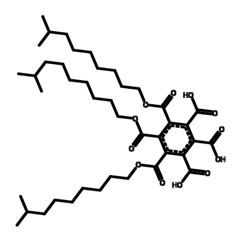 CC(C)CCCCCCCOC(=O)c1c(C(=O)O)c(C(=O)O)c(C(=O)O)c(C(=O)OCCCCCCCC(C)C)c1C(=O)OCCCCCCCC(C)C